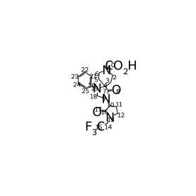 O=C(O)N1CCC2(CC1)C(=O)N(C1CCN(CC(F)(F)F)C1=O)CN2c1ccccc1